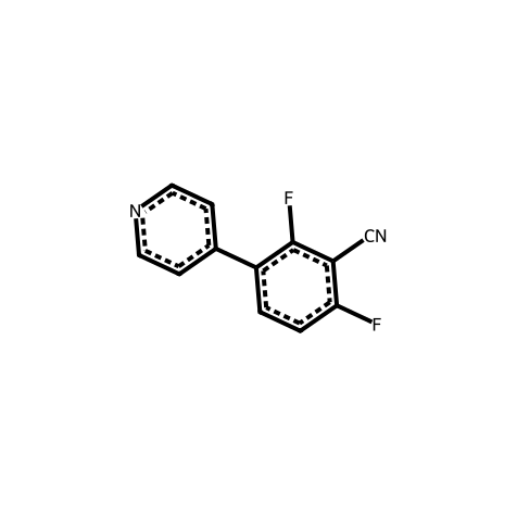 N#Cc1c(F)ccc(-c2ccncc2)c1F